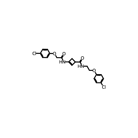 O=C(COc1ccc(Cl)cc1)NC1=CC(C(=O)NCCOc2ccc(Cl)cc2)C1